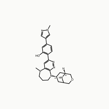 CN1CCCN([C@@H]2CC3COC[C@@H](C2)N3)c2nnc(-c3ccc(-c4cnn(C)c4)cc3O)cc21